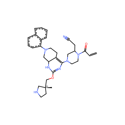 C=CC(=O)N1CCN(C2=C3CCN(c4cccc5ccccc45)CC3NC(OC[C@]3(C)CCNC3)=N2)CC1CC#N